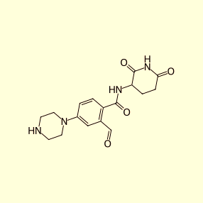 O=Cc1cc(N2CCNCC2)ccc1C(=O)NC1CCC(=O)NC1=O